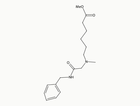 COC(=O)CCCCCN(C)CC(=O)NCc1ccccc1